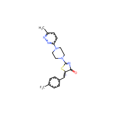 Cc1ccc(N2CCN(C3=NC(=O)/C(=C/c4ccc(C(F)(F)F)cc4)S3)CC2)nn1